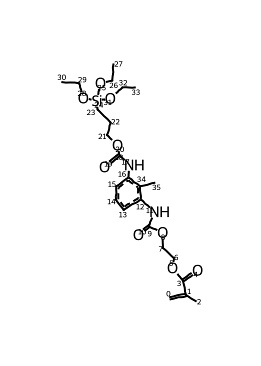 C=C(C)C(=O)OCCOC(=O)Nc1cccc(NC(=O)OCCC[Si](OCC)(OCC)OCC)c1C